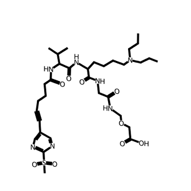 CCCN(CCC)CCCCC(NC(=O)C(NC(=O)CCCC#Cc1cnc(S(C)(=O)=O)nc1)C(C)C)C(=O)NCC(=O)NCOCC(=O)O